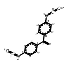 C=C(c1ccc(N=C=O)cc1)c1ccc(N=C=O)cc1